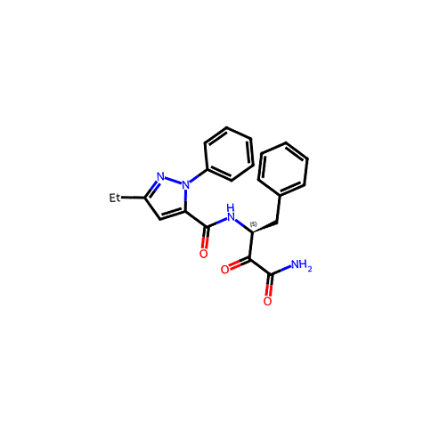 CCc1cc(C(=O)N[C@@H](Cc2ccccc2)C(=O)C(N)=O)n(-c2ccccc2)n1